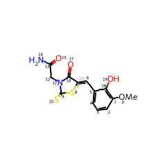 COc1cccc(/C=C2\SC(=S)N(CC(N)=O)C2=O)c1O